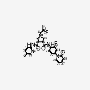 Cc1ccc(NC(=O)[C@H]2CN(CC(F)F)C[C@@H]2C(=O)Nc2ccc(-n3ccccc3=O)cc2F)nc1